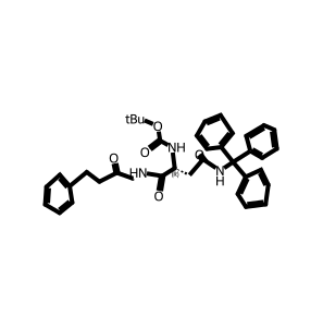 CC(C)(C)OC(=O)N[C@H](CC(=O)NC(c1ccccc1)(c1ccccc1)c1ccccc1)C(=O)NCC(=O)CCc1ccccc1